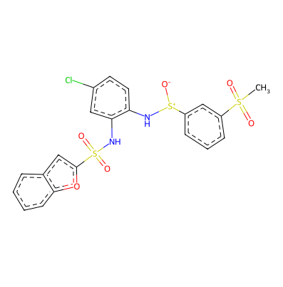 CS(=O)(=O)c1cccc([S+]([O-])Nc2ccc(Cl)cc2NS(=O)(=O)c2cc3ccccc3o2)c1